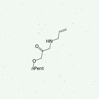 C=CCNCC(=O)COCCCCC